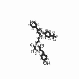 CC(=O)N(CCCNc1cc(-c2ccncc2)nn1-c1ccc(C(C)(C)C)cc1)C(=O)[C@@H](N)Cc1ccc(O)cc1